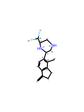 C=C1CCc2c1ccc(C1CNCC(C(F)F)N1)c2C